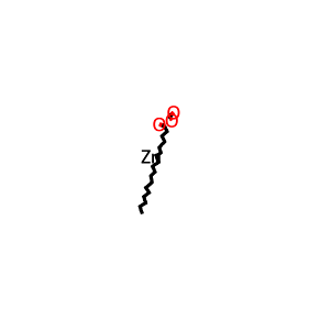 CCCCCCCCCCCCCCCCCC(=O)OC=O.[Zn]